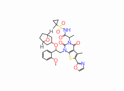 COc1ccccc1C(Cn1c(=O)n(C(C)C(=O)NS(=O)(=O)C2(C)CC2)c(=O)c2c(C)c(-c3ncco3)sc21)OC1C[C@H]2CC[C@@H](C1)O2